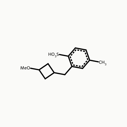 COC1CC(Cc2cc(C)ccc2S(=O)(=O)O)C1